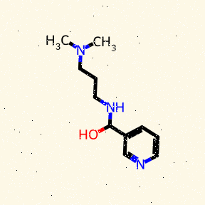 CN(C)CCCNC(O)c1cccnc1